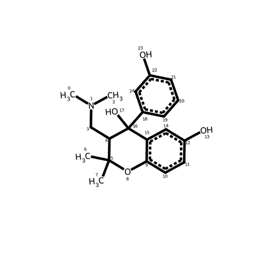 CN(C)CC1C(C)(C)Oc2ccc(O)cc2C1(O)c1cccc(O)c1